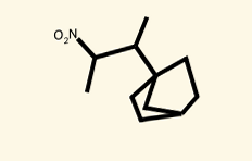 CC(C(C)C12CCC(CC1)C2)[N+](=O)[O-]